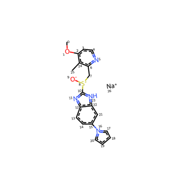 COc1ccnc(C[S+]([O-])c2nc3ccc(-n4cccc4)cc3[nH]2)c1C.[Na+]